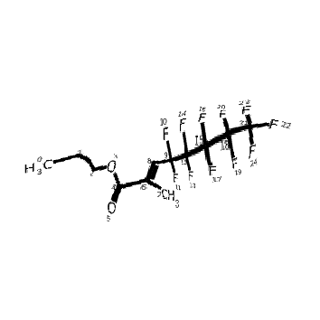 CCCOC(=O)C(C)=CC(F)(F)C(F)(F)C(F)(F)C(F)(F)C(F)(F)F